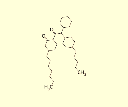 CCCCCCCC1CCC(C(=O)C(C2CCCCC2)C2CCC(CCCCC)CC2)C(=O)C1